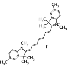 Cc1ccc2c(c1)C(C)(C)C(=CC=CC=CC=CC1=[N+](C)c3ccc(C)cc3C1(C)C)N2C.[I-]